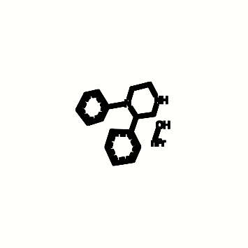 CCCO.c1ccc(C2CNCCN2c2ccccc2)cc1